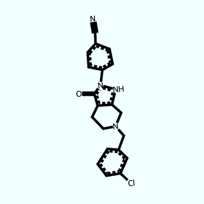 N#Cc1ccc(-n2[nH]c3c(c2=O)CCN(Cc2cccc(Cl)c2)C3)cc1